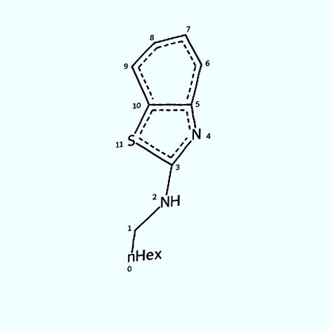 CCCCCCCNc1nc2ccccc2s1